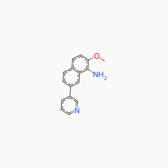 COc1ccc2ccc(-c3cccnc3)cc2c1N